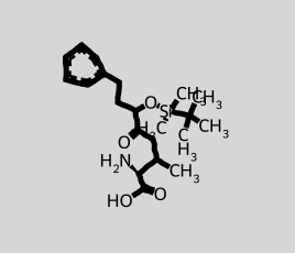 CC(CC(=O)C(CCc1ccccc1)O[Si](C)(C)C(C)(C)C)[C@H](N)C(=O)O